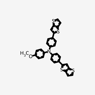 COc1ccc(N(c2ccc(-c3cc4sccc4s3)cc2)c2ccc(-c3cc4sccc4s3)cc2)cc1